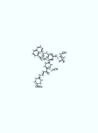 C#Cc1cccc2cccc(C3Cc4nc(OC[C@]5(CO)CC5(F)F)nc(N5CCN(C(=O)/C=C/CN6CCC(OC)CC6)[C@@H](CC#N)C5)c4CO3)c12